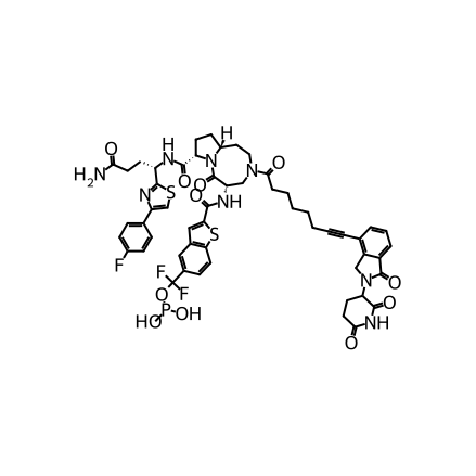 NC(=O)CC[C@H](NC(=O)[C@@H]1CC[C@@H]2CCN(C(=O)CCCCCC#Cc3cccc4c3CN(C3CCC(=O)NC3=O)C4=O)C[C@H](NC(=O)c3cc4cc(C(F)(F)OP(O)O)ccc4s3)C(=O)N21)c1nc(-c2ccc(F)cc2)cs1